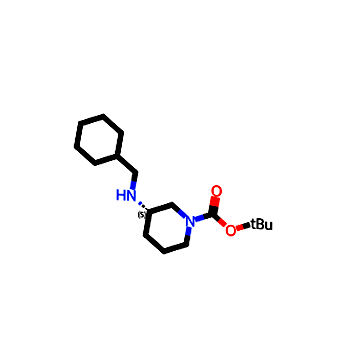 CC(C)(C)OC(=O)N1CCC[C@H](NCC2CCCCC2)C1